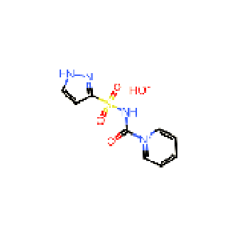 O=C(NS(=O)(=O)c1cc[nH]n1)[n+]1ccccc1.[OH-]